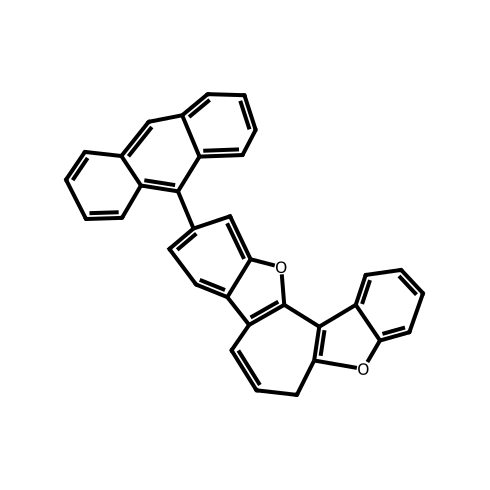 C1=Cc2c(oc3cc(-c4c5ccccc5cc5ccccc45)ccc23)-c2c(oc3ccccc23)C1